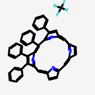 C1=CC2=NC1=CC1=NC(=C(c3ccccc3)C3=NC(=CC4=NC(=C2)C=C4)C=C3c2ccccc2)C(c2ccccc2)=C1c1ccccc1.F[B-](F)(F)F